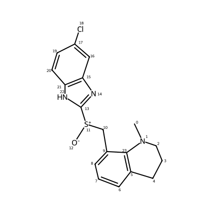 CN1CCCc2cccc(C[S+]([O-])c3nc4cc(Cl)ccc4[nH]3)c21